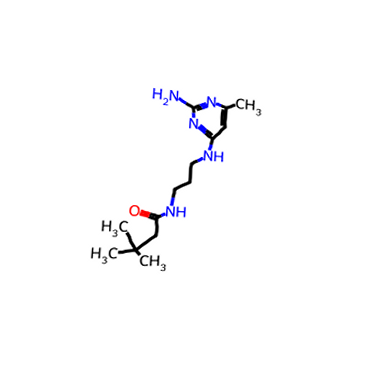 Cc1cc(NCCCNC(=O)CC(C)(C)C)nc(N)n1